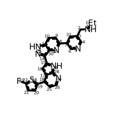 CCNCc1cncc(-c2ccc3[nH]nc(-c4cc5c(-c6ccc(F)s6)ccnc5[nH]4)c3n2)c1